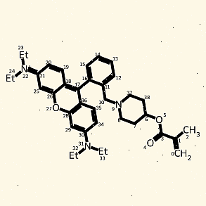 C=C(C)C(=O)OC1CCN(Cc2ccccc2-c2c3ccc(=[N+](CC)CC)cc-3oc3cc(N(CC)CC)ccc23)CC1